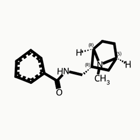 CN1[C@H]2CC[C@@H]1[C@@H](CNC(=O)c1ccccc1)C2